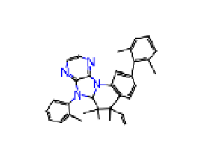 C=CC1(C)c2ccc(-c3c(C)cccc3C)cc2N2c3nccnc3N(c3ccccc3C)C2C1(C)C